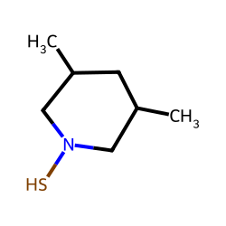 CC1CC(C)CN(S)C1